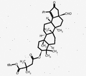 CC(C)C1=C2[C@H]3CC[C@@H]4[C@@]5(C)CC[C@H](OC(=O)CC(C)(C)C(=O)OC(C)(C)C)C(C)(C)[C@@H]5CC[C@@]4(C)[C@]3(C)CC[C@@]2(C=O)CC1=O